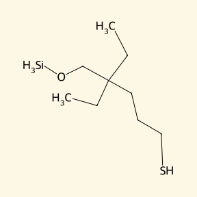 CCC(CC)(CCCS)CO[SiH3]